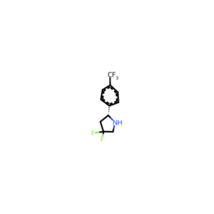 FC1(F)CN[C@@H](c2ccc(C(F)(F)F)cc2)C1